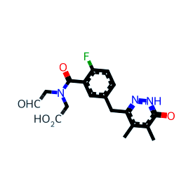 Cc1c(Cc2ccc(F)c(C(=O)N(CC=O)CC(=O)O)c2)n[nH]c(=O)c1C